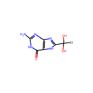 CCC(O)(O)c1nc2nc(N)[nH]c(=O)c2[nH]1